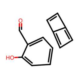 O=Cc1ccccc1O.c1cc2ccc1-2